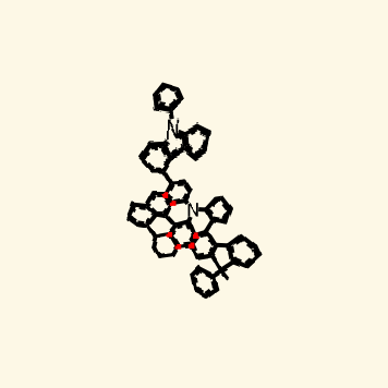 CC1(c2ccccc2)c2ccccc2-c2c(-c3ccccc3N(c3ccc(-c4cccc5c4c4ccccc4n5-c4ccccc4)cc3)c3ccccc3-c3cccc4cccc(C5CCCCC5)c34)cccc21